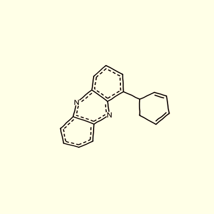 C1=CCC(c2cccc3nc4ccccc4nc23)C=C1